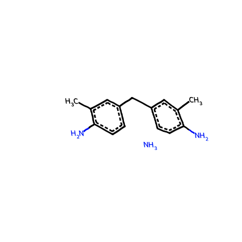 Cc1cc(Cc2ccc(N)c(C)c2)ccc1N.N